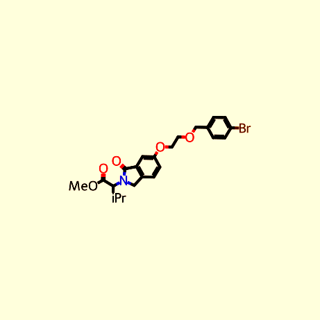 COC(=O)C(C(C)C)N1Cc2ccc(OCCOCc3ccc(Br)cc3)cc2C1=O